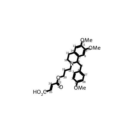 COc1ccc(CC2c3cc(OC)c(OC)cc3CCN2CCCOC(=O)/C=C/C(=O)O)cc1